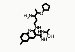 Cc1ccc2nc(NCCC(N)C(C)OC3CCCC3)c(C(=N)NC(C)O)cc2c1